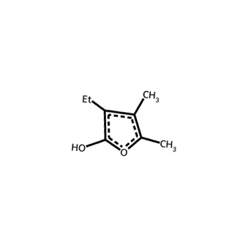 CCc1c(O)oc(C)c1C